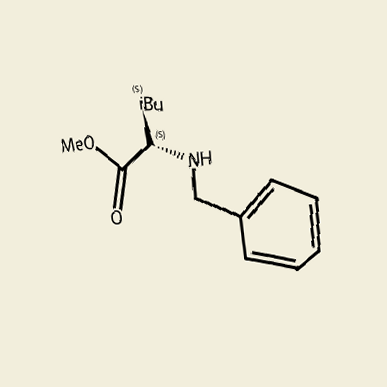 CC[C@H](C)[C@H](NCc1ccccc1)C(=O)OC